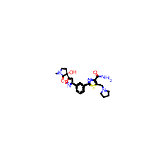 CN1CC[C@@](O)(c2cc(-c3cccc(-c4nc(C(N)=O)c(CN5CCCC5)s4)c3)no2)C1=O